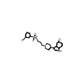 O=S(=O)(NCCCN1CC=C(c2c[nH]c3ccc(Cl)cc23)CC1)c1cccc(Cl)c1